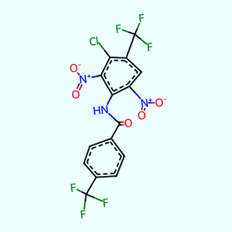 O=C(Nc1c([N+](=O)[O-])cc(C(F)(F)F)c(Cl)c1[N+](=O)[O-])c1ccc(C(F)(F)F)cc1